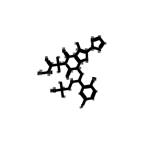 CCc1ccc(F)cc1C(Cn1c(=O)n(C(C)(C)C(=O)NC(C)C)c(=O)c2c(C)c(-n3nccn3)sc21)OCC(C)(C)O